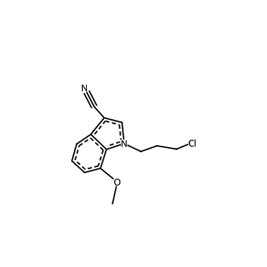 COc1cccc2c(C#N)cn(CCCCl)c12